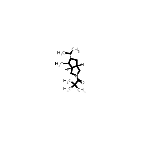 CC(C)[C@@H]1C[C@@H]2CN(C(=O)C(C)(C)C)C[C@@H]2[C@H]1C